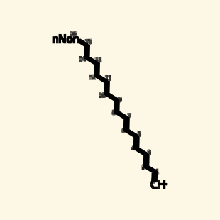 [CH]=CC=CC=CC=CC=CC=CC=CC=CCCCCCCCCC